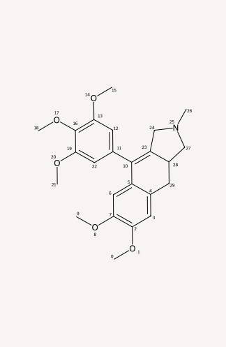 COc1cc2c(cc1OC)C(c1cc(OC)c(OC)c(OC)c1)=C1CN(C)CC1C2